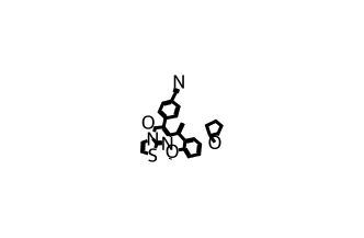 C1CC2OC2C1.C=C(c1ccccc1OC)c1nc2sccn2c(=O)c1-c1ccc(C#N)cc1